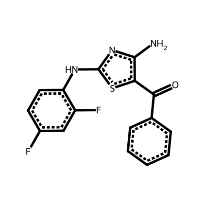 Nc1nc(Nc2ccc(F)cc2F)sc1C(=O)c1ccccc1